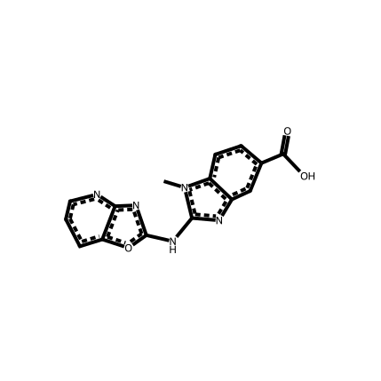 Cn1c(Nc2nc3ncccc3o2)nc2cc(C(=O)O)ccc21